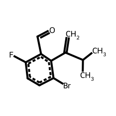 C=C(c1c(Br)ccc(F)c1C=O)C(C)C